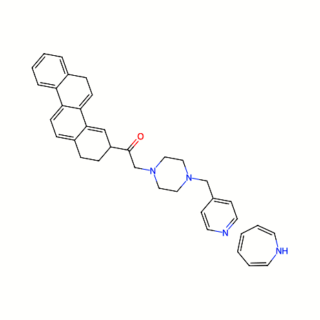 C1=CC=CNC=C1.O=C(CN1CCN(Cc2ccncc2)CC1)C1C=c2c(ccc3c2=CCc2ccccc2-3)CC1